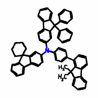 CC1(C)c2ccccc2-c2cccc(-c3ccc(N(c4ccc5c(c4)C4(CCCCC4)c4ccccc4-5)c4ccc5c(c4)C(c4ccccc4)(c4ccccc4)c4ccccc4-5)cc3)c21